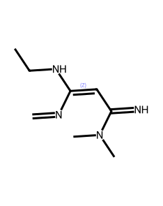 C=N/C(=C\C(=N)N(C)C)NCC